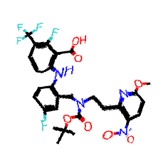 COc1ccc([N+](=O)[O-])c(CCN(Cc2cc(F)ccc2Nc2ccc(C(F)(F)F)c(F)c2C(=O)O)C(=O)OC(C)(C)C)n1